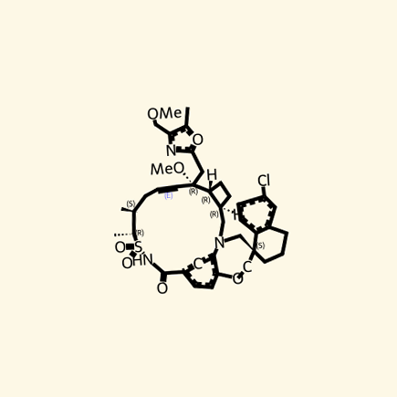 COCc1nc(C[C@]2(OC)/C=C/C[C@H](C)[C@@H](C)S(=O)(=O)NC(=O)c3ccc4c(c3)N(C[C@@H]3CC[C@H]32)C[C@@]2(CCCc3cc(Cl)ccc32)CO4)oc1C